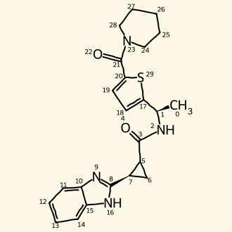 C[C@@H](NC(=O)C1C[C@H]1c1nc2ccccc2[nH]1)c1ccc(C(=O)N2CCCCC2)s1